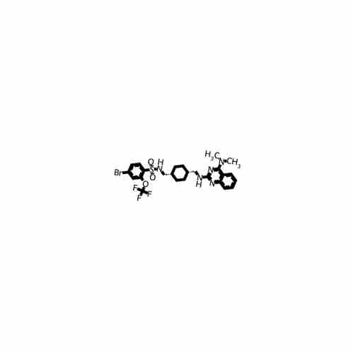 CN(C)c1nc(NC[C@H]2CC[C@@H](CNS(=O)(=O)c3ccc(Br)cc3OC(F)(F)F)CC2)nc2ccccc12